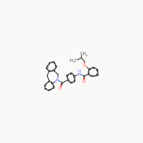 CC(C)COc1ccccc1C(=O)Nc1ccc(C(=O)N2Cc3ccccc3Cc3ccccc32)cc1